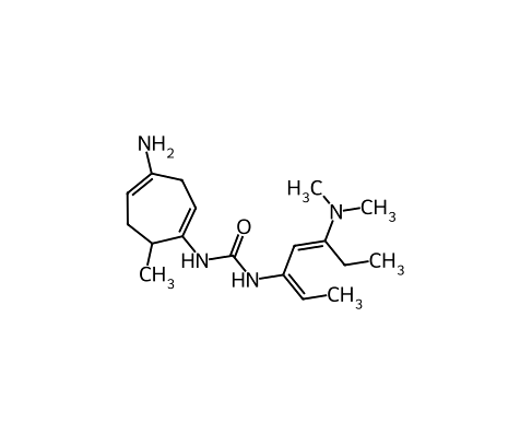 C/C=C(\C=C(/CC)N(C)C)NC(=O)NC1=CCC(N)=CCC1C